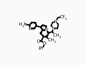 Cc1c(C(=O)OC(C)C)cc2c(-c3ccc(N)nc3)ccn2c1C(C)N1CCN(CC(F)(F)F)CC1